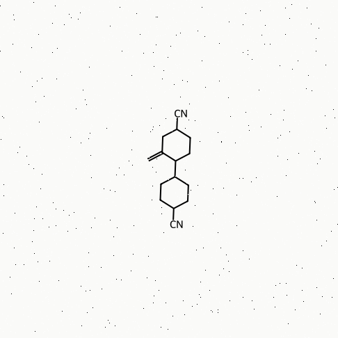 C=C1CC(C#N)CCC1C1CCC(C#N)CC1